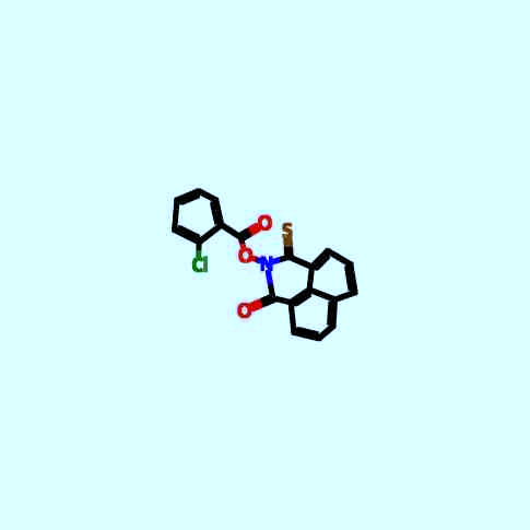 O=C(ON1C(=O)c2cccc3cccc(c23)C1=S)c1ccccc1Cl